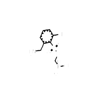 NCc1cccc(Cl)c1S(=O)(=O)OC[PH](=O)O